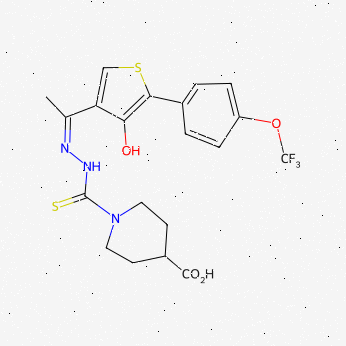 CC(=NNC(=S)N1CCC(C(=O)O)CC1)c1csc(-c2ccc(OC(F)(F)F)cc2)c1O